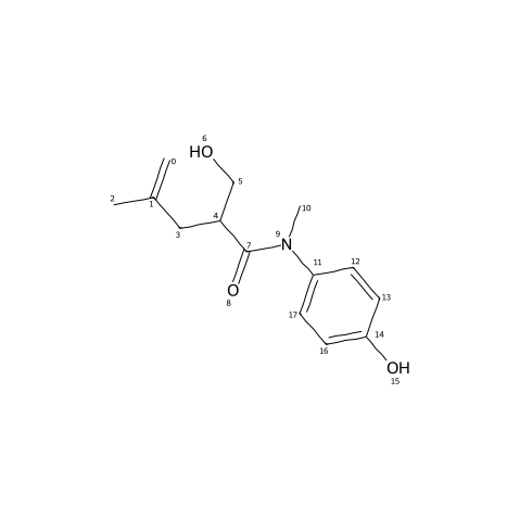 C=C(C)CC(CO)C(=O)N(C)c1ccc(O)cc1